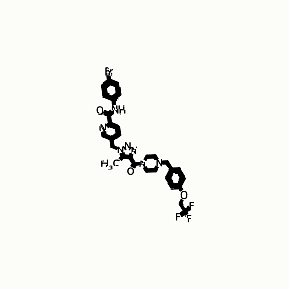 Cc1c(C(=O)N2CCN(Cc3ccc(OCC(F)(F)F)cc3)CC2)nnn1Cc1ccc(C(=O)Nc2ccc(Br)cc2)nc1